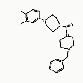 Cc1ccc(N2CCC(C(=O)N3CCN(Cc4ccccc4)CC3)CC2)cc1C